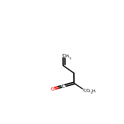 C=CCC(=C=O)C(=O)O